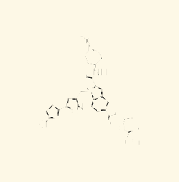 CC(OC(=O)c1ccc2c(c1)cc(C(=O)NC1CCN(C(C)C)CC1)n2Cc1cc(-c2ccc(Cl)s2)on1)OC(=O)C(C)(C)C